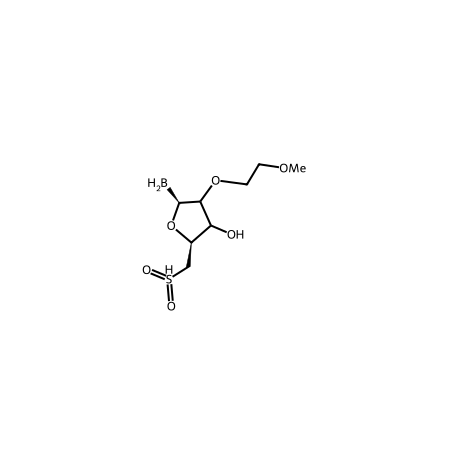 B[C@@H]1O[C@H](C[SH](=O)=O)C(O)C1OCCOC